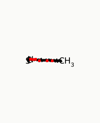 CCCCCCCCCCCCCCCCCCCCCCCCN=C=S